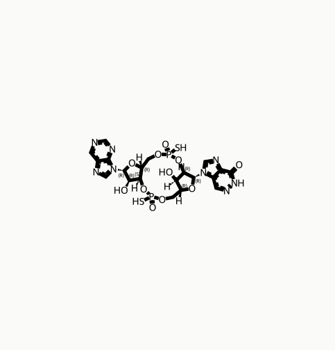 O=c1[nH]ncc2c1ncn2[C@@H]1O[C@@H]2COP(=O)(S)O[C@H]3[C@@H](O)[C@H](n4cnc5cncnc54)O[C@@H]3COP(=O)(S)O[C@@H]1[C@@H]2O